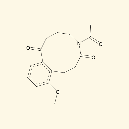 COc1cccc2c1CCC(=O)N(C(C)=O)CCCC2=O